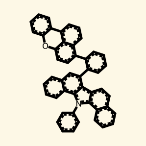 c1ccc(-n2c3c4ccccc4ccc3c3c(-c4ccccc4-c4ccc5c6c(cccc46)-c4ccccc4O5)cc4ccccc4c32)cc1